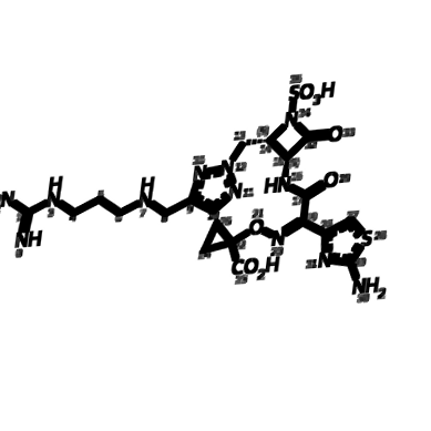 N=C(N)NCCCNCc1cnn(C[C@H]2[C@H](NC(=O)C(=NOC3(C(=O)O)CC3)c3csc(N)n3)C(=O)N2S(=O)(=O)O)n1